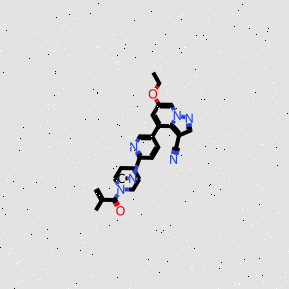 C=C(C)C(=O)N1CC2CCC1CN2c1ccc(-c2cc(OCC)cn3ncc(C#N)c23)cn1